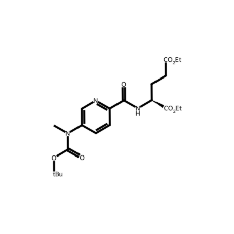 CCOC(=O)CC[C@H](NC(=O)c1ccc(N(C)C(=O)OC(C)(C)C)cn1)C(=O)OCC